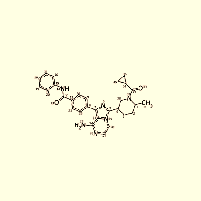 CC1CCC(c2nc(-c3ccc(C(=O)Nc4ccccn4)cc3)c3c(N)nccn23)CN1C(=O)C1CC1